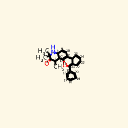 CC1C(=O)C(C)(C)NC2C=CC3=C(OC(c4ccccc4)=C4C=CC=CC43)C21